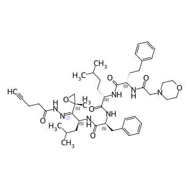 C#CCCC(=O)N/N=C(/[C@H](CC(C)C)NC(=O)[C@H](Cc1ccccc1)NC(=O)[C@H](CCC(C)C)NC(=O)[C@H](CCc1ccccc1)NC(=O)CN1CCOCC1)[C@@]1(C)CO1